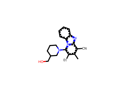 CCc1c(C)c(C#N)c2nc3ccccc3n2c1N1CCCC(CO)C1